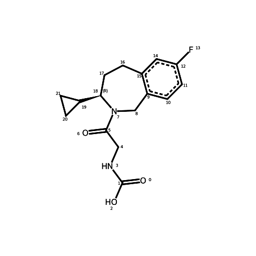 O=C(O)NCC(=O)N1Cc2ccc(F)cc2CC[C@@H]1C1CC1